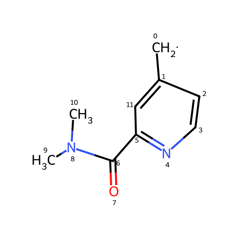 [CH2]c1ccnc(C(=O)N(C)C)c1